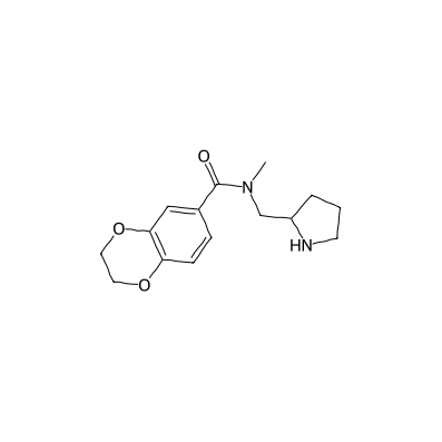 CN(CC1CCCN1)C(=O)c1ccc2c(c1)OCCO2